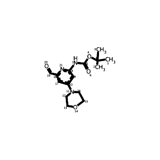 CC(C)(C)OC(=O)Nc1cc(N2CCOCC2)cc(C=O)n1